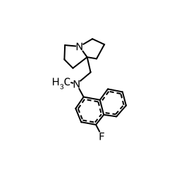 CN(CC12CCCN1CCC2)c1ccc(F)c2ccccc12